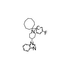 Fc1ccc(C2(N3CCC(n4cnc5ccccc54)CC3)CCCCCCCC2)cc1